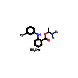 CC(=O)O.CCN(CC)C(C)OC(=O)c1ccccc1Nc1cccc(C(F)(F)F)c1